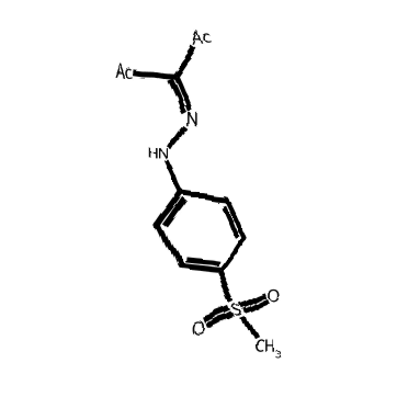 CC(=O)C(=NNc1ccc(S(C)(=O)=O)cc1)C(C)=O